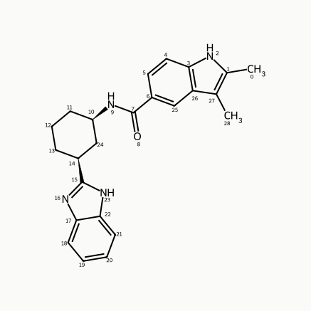 Cc1[nH]c2ccc(C(=O)N[C@@H]3CCC[C@H](c4nc5ccccc5[nH]4)C3)cc2c1C